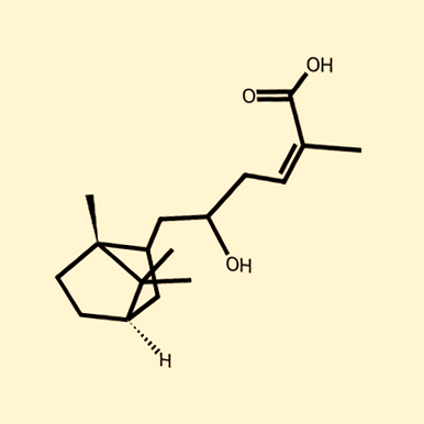 CC(=CCC(O)CC1C[C@H]2CC[C@@]1(C)C2(C)C)C(=O)O